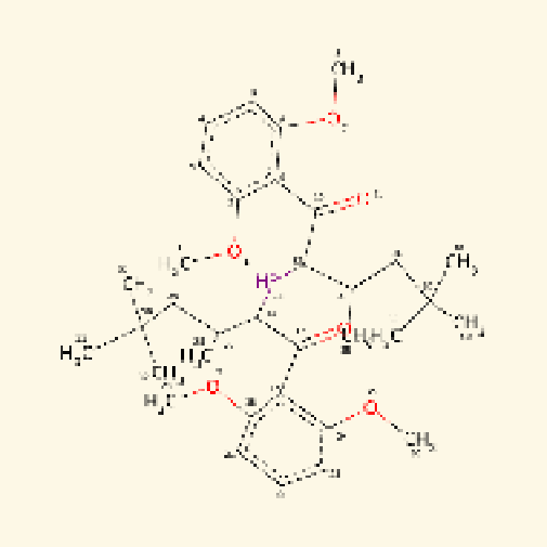 COc1cccc(OC)c1C(=O)C(PC(C(=O)c1c(OC)cccc1OC)C(C)CC(C)(C)C)C(C)CC(C)(C)C